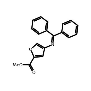 COC(=O)c1cc(N=C(c2ccccc2)c2ccccc2)co1